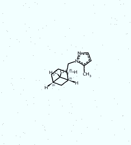 Cc1ccnn1C[C@@H]1CC[C@H]2C[C@@H]1C2(C)C